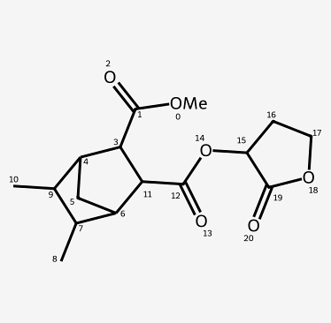 COC(=O)C1C2CC(C(C)C2C)C1C(=O)OC1CCOC1=O